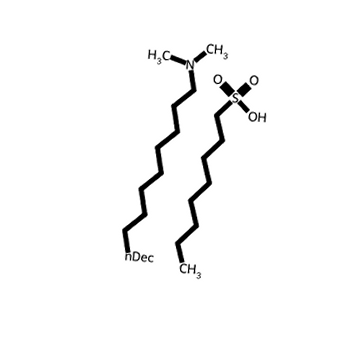 CCCCCCCCCCCCCCCCCCN(C)C.CCCCCCCCS(=O)(=O)O